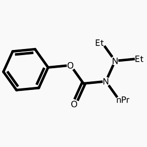 CCCN(C(=O)Oc1ccccc1)N(CC)CC